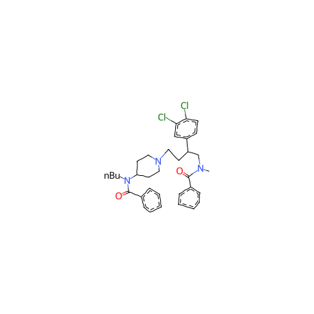 CCCCN(C(=O)c1ccccc1)C1CCN(CCC(CN(C)C(=O)c2ccccc2)c2ccc(Cl)c(Cl)c2)CC1